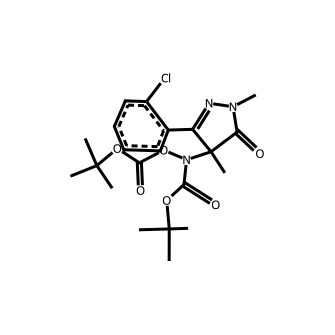 CN1N=C(c2ccccc2Cl)C(C)(N(OC(=O)OC(C)(C)C)C(=O)OC(C)(C)C)C1=O